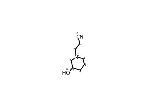 N#CCCN1CCCC(O)C1